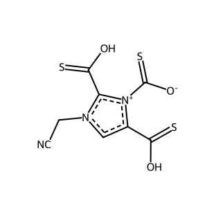 N#CCn1cc(C(O)=S)[n+](C([O-])=S)c1C(O)=S